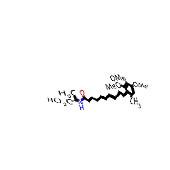 COc1cc(C)c(CCCCCCCCCC(=O)N[C@@H](C)C(=O)O)c(OC)c1OC